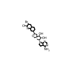 Nc1ncnc2c1ccn2[C@@H]1C[C@@]2(COC(c3ccc4cc(Br)c(Cl)nc4c3)C2)[C@@H](O)[C@H]1O